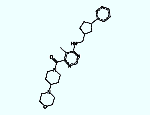 Cc1c(NCC2CCC(c3ccccc3)C2)ncnc1C(=O)N1CCC(N2CCOCC2)CC1